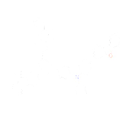 CC1(C)c2ccccc2-c2ccc(-c3cc(-c4ccc(N(c5ccccc5)c5ccc(-c6ccc7c(c6)oc6ccccc67)cc5)cc4)cc(-c4ccc5c(c4)C(C)(C)c4ccccc4-5)c3)cc21